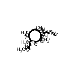 C/C(=C\c1csc(C)n1)C1C[C@@H]2OC2(C)CCC[C@H](C)[C@H](O)[C@@H](CCCCN=[N+]=[N-])C(=O)C(C)(C)[C@@H](O)CC(=O)O1